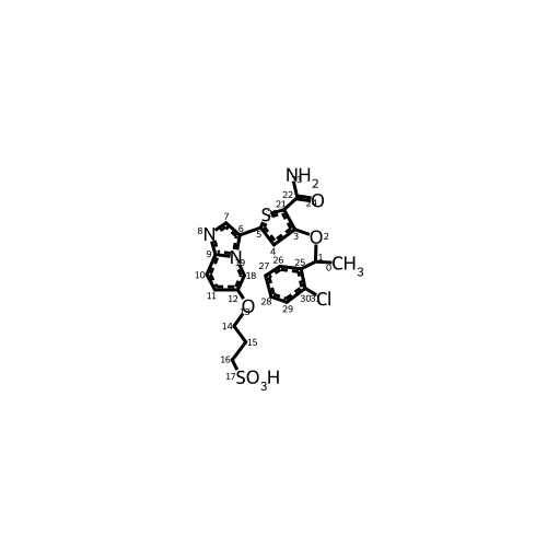 CC(Oc1cc(-c2cnc3ccc(OCCCS(=O)(=O)O)cn23)sc1C(N)=O)c1ccccc1Cl